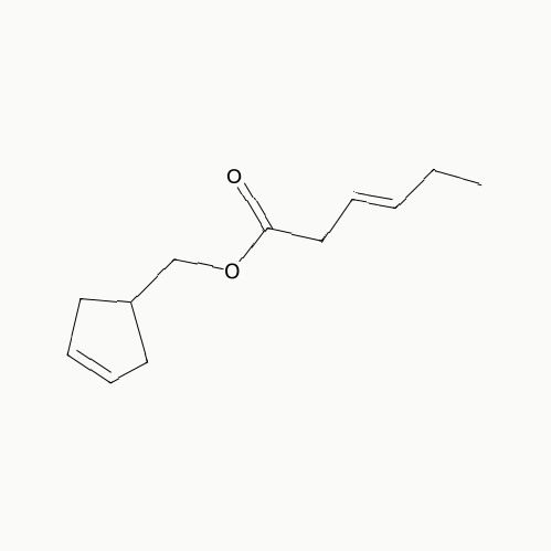 CC/C=C/CC(=O)OCC1CC=CC1